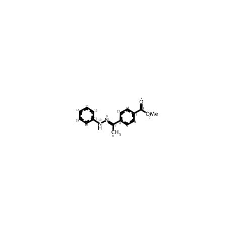 COC(=O)c1ccc(/C(C)=N/Nc2ccccc2)cc1